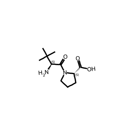 CC(C)(C)[C@H](N)C(=O)N1CCC[C@H]1C(=O)O